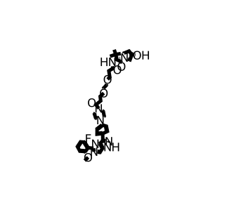 COc1cccc(F)c1-c1ncc2[nH]nc(-c3ccc(N4CCN(C(=O)CCOCCOCCC(=O)N[C@H](C(=O)N5CC[C@@H](O)C5)C(C)(C)C)CC4)cc3)c2n1